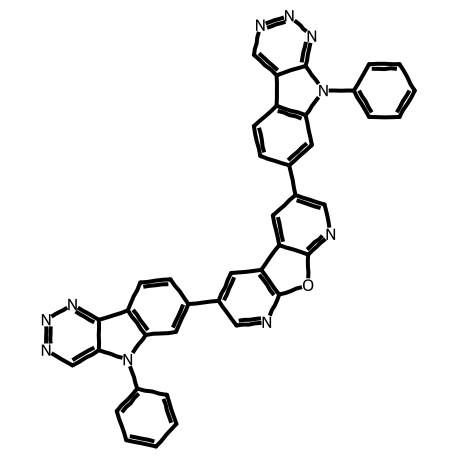 c1ccc(-n2c3cc(-c4cnc5oc6ncc(-c7ccc8c9cnnnc9n(-c9ccccc9)c8c7)cc6c5c4)ccc3c3nnncc32)cc1